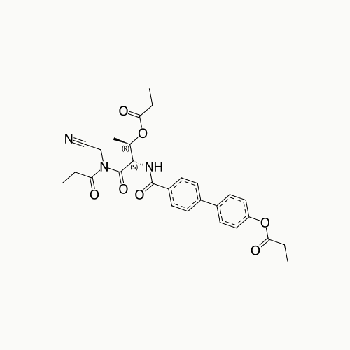 CCC(=O)Oc1ccc(-c2ccc(C(=O)N[C@H](C(=O)N(CC#N)C(=O)CC)[C@@H](C)OC(=O)CC)cc2)cc1